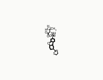 CC(C)[C@H](NS(=O)(=O)c1ccc2c(c1)oc1ccc(C3=NCCS3)cc12)C(=O)O